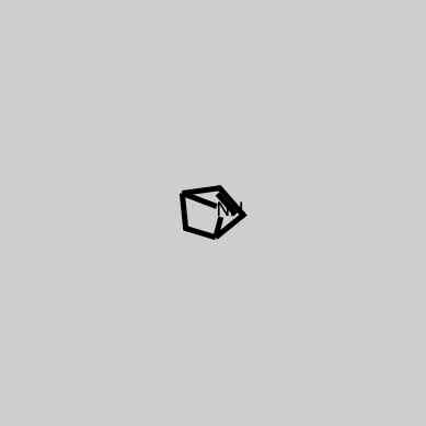 C1=CC2CC1N2